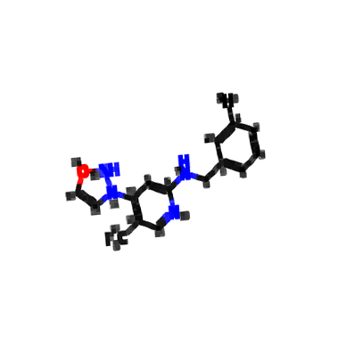 [3H]c1cccc(CNc2cc(N3C=CON3)c(C(F)(F)F)cn2)c1